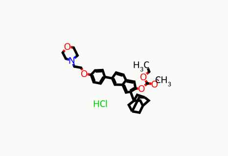 CCOC(OC)Oc1cc2ccc(-c3ccc(OCCN4CCOCC4)cc3)cc2cc1C12CC3CC(CC(C3)C1)C2.Cl